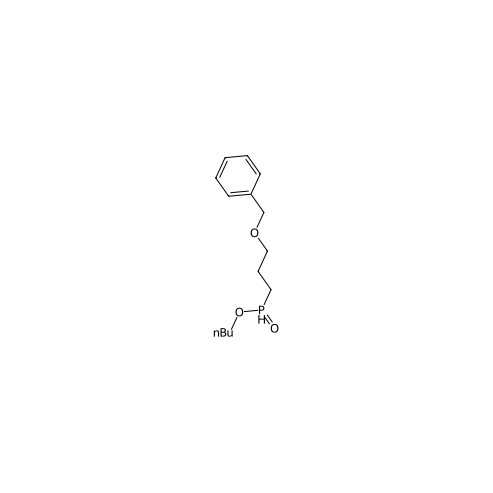 CCCCO[PH](=O)CCCOCc1ccccc1